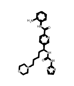 Nc1ccccc1NC(=O)c1ccc(C(CCCCN2CCOCC2)NC(=O)Nc2nccs2)cn1